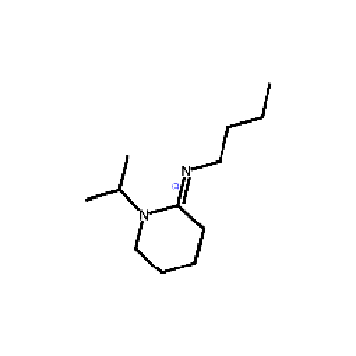 CCCC/N=C1\CCCCN1C(C)C